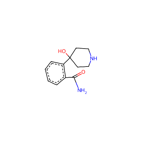 NC(=O)c1ccccc1C1(O)CCNCC1